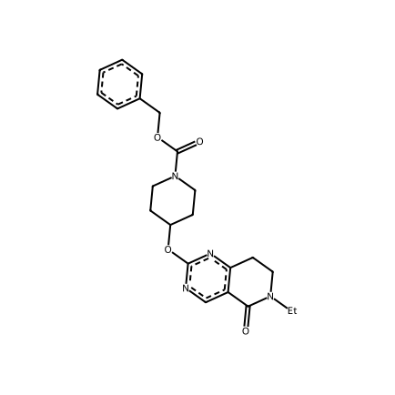 CCN1CCc2nc(OC3CCN(C(=O)OCc4ccccc4)CC3)ncc2C1=O